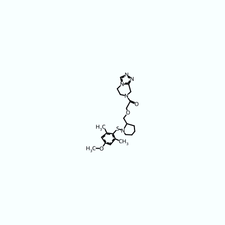 COc1cc(C)c(SN2CCCCC2COCC(=O)N2CCn3cnnc3C2)c(C)c1